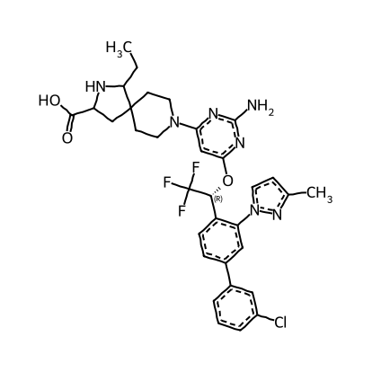 CCC1NC(C(=O)O)CC12CCN(c1cc(O[C@H](c3ccc(-c4cccc(Cl)c4)cc3-n3ccc(C)n3)C(F)(F)F)nc(N)n1)CC2